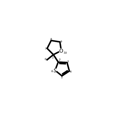 CC1(c2cccs2)CCCO1